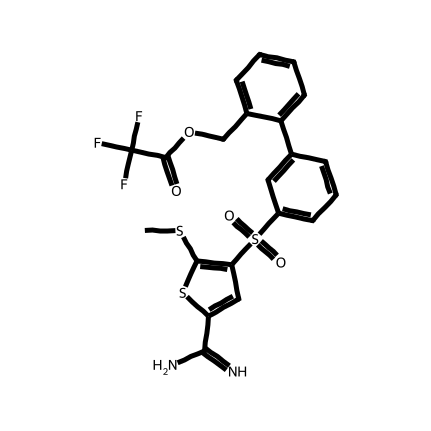 CSc1sc(C(=N)N)cc1S(=O)(=O)c1cccc(-c2ccccc2COC(=O)C(F)(F)F)c1